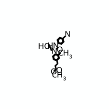 COC(=O)CCc1ccc(N(CCO)C(=O)Nc2ccc(C#N)cc2)c(C)c1